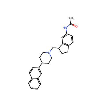 CC(=O)Nc1ccc2c(c1)C(CN1CCC(c3ccc4ccccc4c3)CC1)CC2